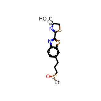 CC[S+]([O-])CCCc1ccc2nc(C3=N[C@@H](C(=O)O)CS3)sc2c1